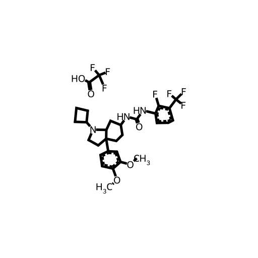 COc1ccc(C23CCC(NC(=O)Nc4cccc(C(F)(F)F)c4F)CC2N(C2CCC2)CC3)cc1OC.O=C(O)C(F)(F)F